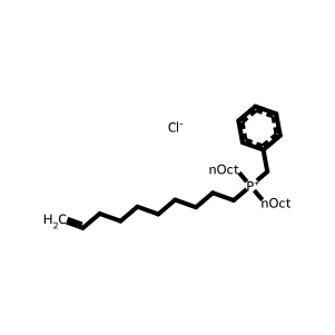 C=CCCCCCCCC[P+](CCCCCCCC)(CCCCCCCC)Cc1ccccc1.[Cl-]